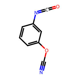 N#COc1cccc(N=C=O)c1